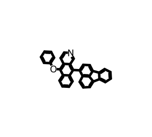 c1ccc(Oc2c3ccccc3c(-c3ccc4c5c(cccc35)-c3ccccc3-4)c3cnccc23)cc1